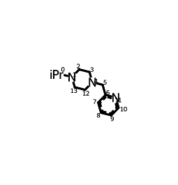 CC(C)N1CCN(Cc2ccccn2)CC1